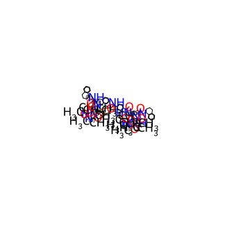 CSC(C)(C)[C@H](NC(=O)[C@H](C)N(C)C(=O)OC(C)(C)C)C(=O)N1Cc2cc(NC(=O)c3ccc(C(=O)N[C@H]4C[C@@H](C(=O)NC5CCCc6ccccc65)N(C(=O)[C@@H](NC(=O)[C@H](C)N(C)C(=O)OC(C)(C)C)C(C)(C)C)C4)cc3)ccc2C[C@H]1C(=O)N[C@@H]1CCCc2ccccc21